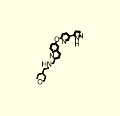 c1cc(-c2ccc(Oc3ccc4nc(CNCCC5CCOCC5)ccc4c3)nc2)[nH]n1